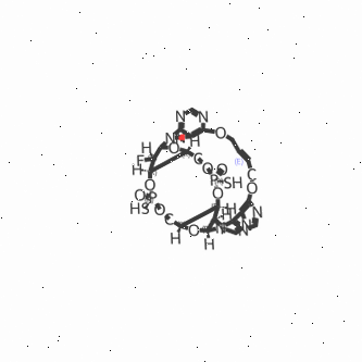 O=[P@@]1(S)OC[C@H]2O[C@@H]3[C@H](F)[C@@H]2O[P@](=O)(S)OC[C@H]2OC([C@H](F)[C@@H]2O1)n1cnc2c(ncnc21)OC/C=C/COc1ncnc2c1ncn23